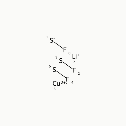 F[S-].F[S-].F[S-].[Cu+2].[Li+]